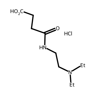 CCN(CC)CCNC(=O)CCC(=O)O.Cl